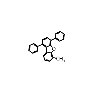 Cc1cccc2c1oc1c(-c3ccccc3)ccc(-c3ccccc3)c12